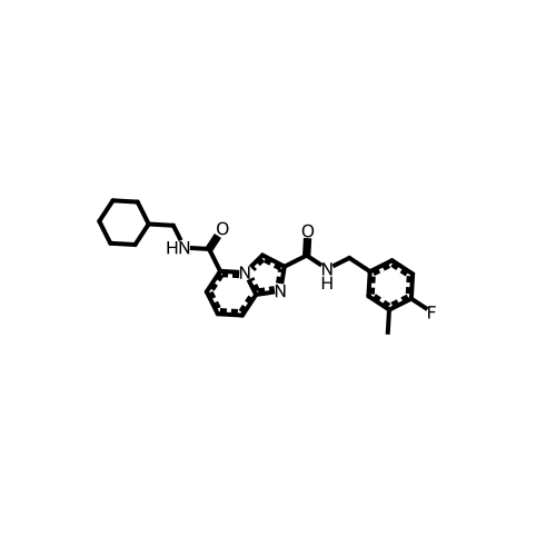 Cc1cc(CNC(=O)c2cn3c(C(=O)NCC4CCCCC4)cccc3n2)ccc1F